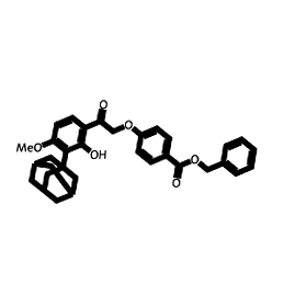 COc1ccc(C(=O)COc2ccc(C(=O)OCc3ccccc3)cc2)c(O)c1C12CC3CC(CC(C3)C1)C2